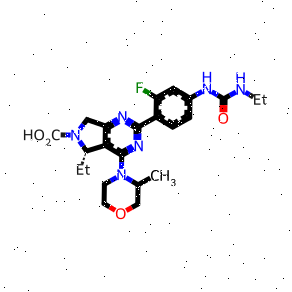 CCNC(=O)Nc1ccc(-c2nc3c(c(N4CCOCC4C)n2)[C@H](CC)N(C(=O)O)C3)c(F)c1